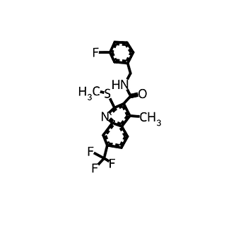 CSc1nc2cc(C(F)(F)F)ccc2c(C)c1C(=O)NCc1cccc(F)c1